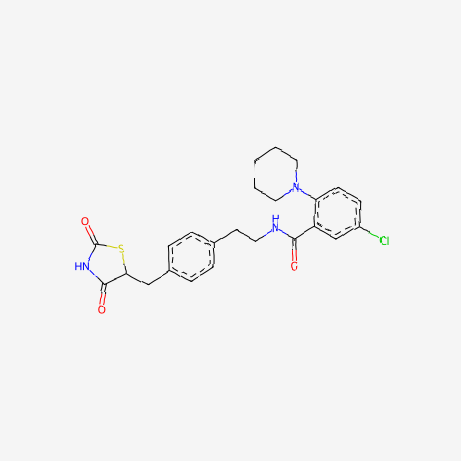 O=C1NC(=O)C(Cc2ccc(CCNC(=O)c3cc(Cl)ccc3N3CCCCC3)cc2)S1